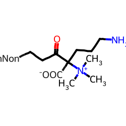 CCCCCCCCCCCC(=O)C(CCCN)(C(=O)[O-])[N+](C)(C)C